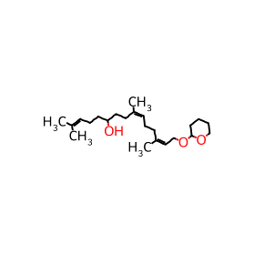 CC(C)=CCCC(O)CCC(C)=CCCC(C)=CCOC1CCCCO1